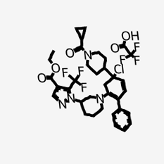 CCOC(=O)c1cnn(C2CCCN(C3=C(c4ccccc4)C=CC(Cl)(C4CCN(C(=O)C5CC5)CC4)C3)C2)c1C(F)(F)F.O=C(O)C(F)(F)F